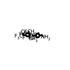 Cc1cc(C(F)(C(F)(F)F)C(F)(F)C(F)(F)F)cc(C)c1NC(=O)c1ccc(CN)cc1